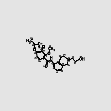 COc1c(C(=O)Nc2cccc3c2CCN(CCO)C3)ccc(OC(C)C)c1Cl